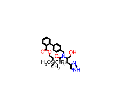 CCCCC(=O)N(Cc1ccc(-c2ccccc2C(=O)OCC[Si](C)(C)C)cc1)C(CO)Cc1c[nH]cn1